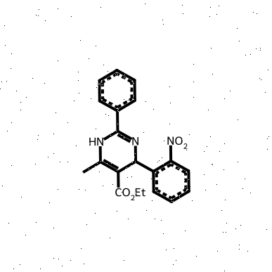 CCOC(=O)C1=C(C)NC(c2ccccc2)=NC1c1ccccc1[N+](=O)[O-]